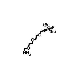 CC(C)(C)[Si](F)(C#CCOCCOCCOCN)C(C)(C)C